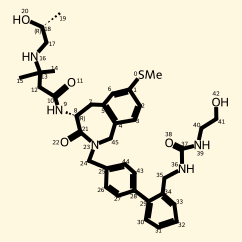 CSc1ccc2c(c1)C[C@@H](NC(=O)CC(C)(C)NC[C@@H](C)O)C(=O)N(Cc1ccc(-c3ccccc3CNC(=O)NCCO)cc1)C2